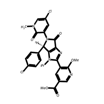 [2H][C@@]1(c2ccc(Cl)cc2)c2c(nc(-c3cc(C(=O)OC)cnc3OC)n2C(C)C)C(=O)N1c1cc(Cl)cn(C)c1=O